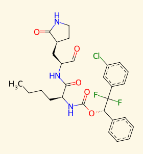 CCCC[C@H](NC(=O)O[C@@H](c1ccccc1)C(F)(F)c1cccc(Cl)c1)C(=O)N[C@H](C=O)C[C@@H]1CCNC1=O